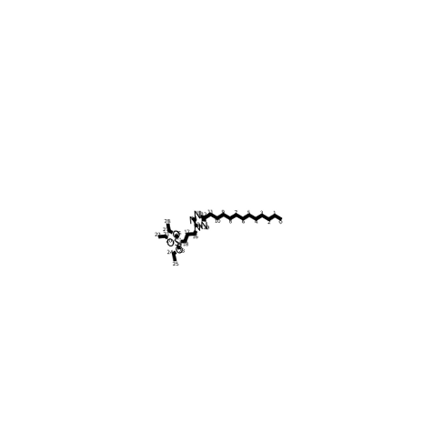 CCCCCCCCCCCCc1nnn(CCC[Si](OCC)(OCC)OCC)n1